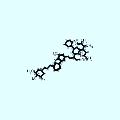 CCCC(C)CC(CCc1cc(C)c2sc3c(CCCC4CC(C)C(CC)C(CC)C4)cccc3c2c1)C1CC(C2CCCCC2)CC2C(C(C)C(C)CC(C)C)CC(C)NC12